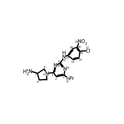 CCCc1cc(N2CCC(N)C2)nc(Nc2ccc(Cl)c([N+](=O)[O-])c2)n1